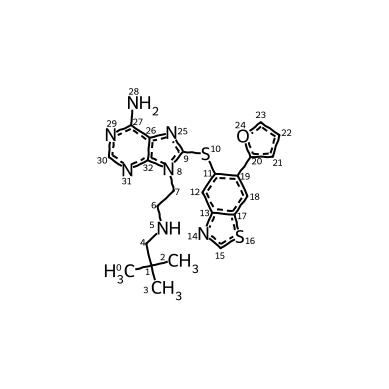 CC(C)(C)CNCCn1c(Sc2cc3ncsc3cc2-c2ccco2)nc2c(N)ncnc21